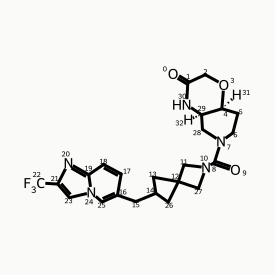 O=C1CO[C@H]2CCN(C(=O)N3CC4(CC(Cc5ccc6nc(C(F)(F)F)cn6c5)C4)C3)C[C@H]2N1